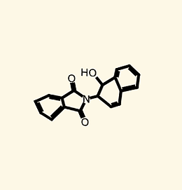 O=C1c2ccccc2C(=O)N1C1C=Cc2ccccc2C1O